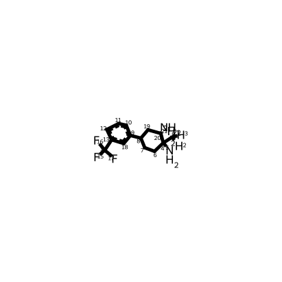 [2H]C([2H])([2H])C1(N)CCC(c2cccc(C(F)(F)F)c2)CC1N